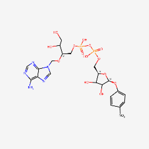 Nc1ncnc2c1ncn2CO[C@H](COP(=O)(O)OP(=O)(O)OC[C@H]1O[C@@H](Oc2ccc([N+](=O)[O-])cc2)C(O)C1O)C(O)CO